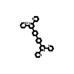 C1=CNC(c2cc(-c3ccc(-c4ccc(-c5cc(-c6ccccn6)nc(-c6ccccn6)c5)cc4)cc3)cc(-c3ccccn3)n2)C=C1